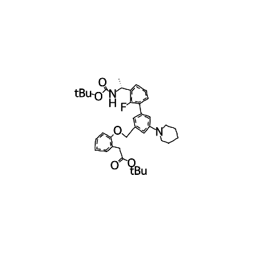 C[C@@H](NC(=O)OC(C)(C)C)c1cccc(-c2cc(COc3ccccc3CC(=O)OC(C)(C)C)cc(N3CCCCC3)c2)c1F